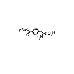 CCCCOC(=O)c1ccc(C[C@H](N)C(=O)O)cc1